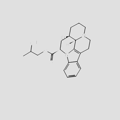 CC[C@]12CCCN3CCc4c(n(c5ccccc45)[C@@H](C(=O)OCC(C)O)C1)[C@@H]32